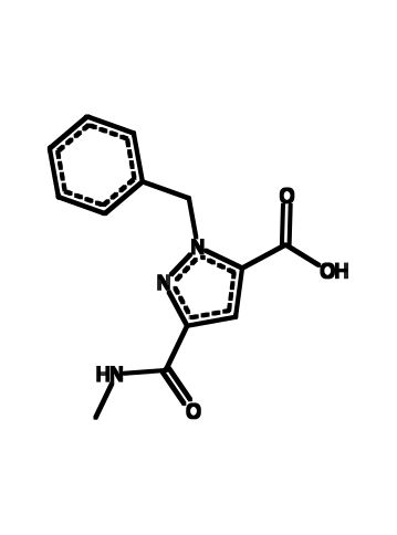 CNC(=O)c1cc(C(=O)O)n(Cc2ccccc2)n1